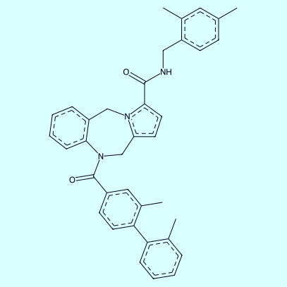 Cc1ccc(CNC(=O)c2ccc3n2Cc2ccccc2N(C(=O)c2ccc(-c4ccccc4C)c(C)c2)C3)c(C)c1